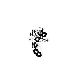 CC(C)(O)C(c1ccccc1C(F)(F)F)[SH]1C[C@H](O)[C@H](n2cc(-c3ccc4ccccc4c3)nn2)[C@@H](O)[C@H]1CO